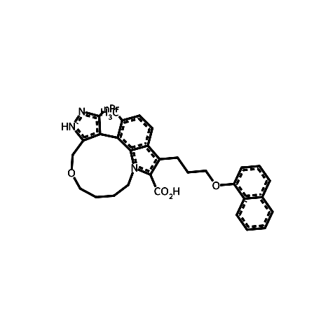 CCCc1n[nH]c2c1-c1c(C)ccc3c(CCCOc4cccc5ccccc45)c(C(=O)O)n(c13)CCCCOC2